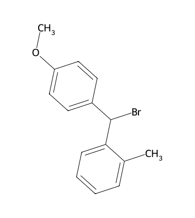 COc1ccc(C(Br)c2ccccc2C)cc1